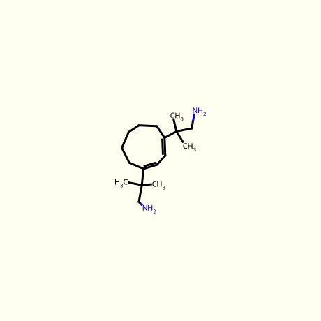 CC(C)(CN)C1=CC=C(C(C)(C)CN)CCCCC1